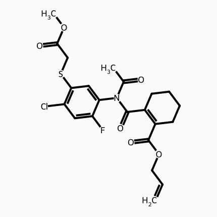 C=CCOC(=O)C1=C(C(=O)N(C(C)=O)c2cc(SCC(=O)OC)c(Cl)cc2F)CCCC1